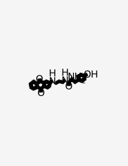 N[C@H](Cc1ccc(O)cc1)C(=O)NCCCNc1ccc2c(c1)C(=O)c1ccccc1C2=O